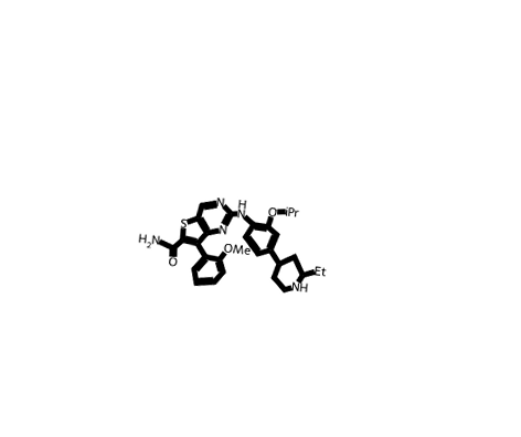 CCC1CC(c2ccc(Nc3ncc4sc(C(N)=O)c(-c5ccccc5OC)c4n3)c(OC(C)C)c2)CCN1